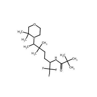 CC(N1CCOCC1(C)C)C(C)(C)CCC(NC(=O)C(C)(C)C)C(F)(F)F